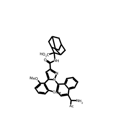 COc1cccc(OC)c1-c1cc(C(=O)NC2(C(=O)O)C3CC4CC(C3)CC2C4)nn1-c1ccc(C(N)C(C)=O)c2ccccc12